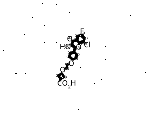 O=C(O)C1CC(OCCOc2ccc(-c3oc4c(Cl)cc(F)cc4c(=O)c3O)cc2)C1